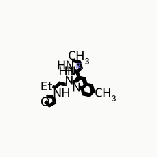 CCC(CCNc1nc2ccc(C)cc2cc1C(=N)/C=C\C(C)=N)NC1CCOC1